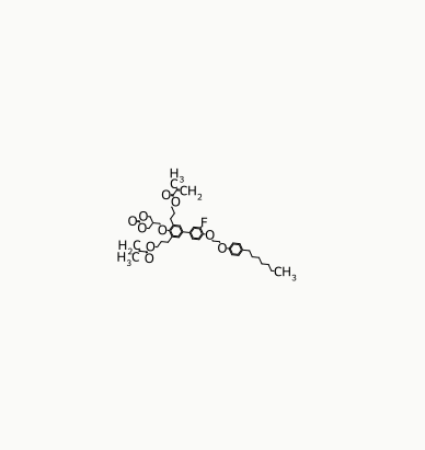 C=C(C)C(=O)OCCCc1cc(-c2ccc(OCCOc3ccc(CCCCCCC)cc3)c(F)c2)cc(CCCOC(=O)C(=C)C)c1OCC1COC(=O)OC1